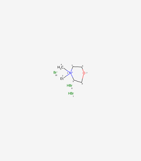 Br.Br.CC[N+]1(C)CCOCC1.[Br-]